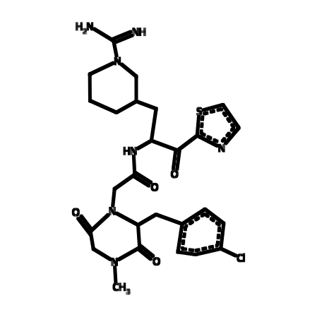 CN1CC(=O)N(CC(=O)NC(CC2CCCN(C(=N)N)C2)C(=O)c2nccs2)C(Cc2ccc(Cl)cc2)C1=O